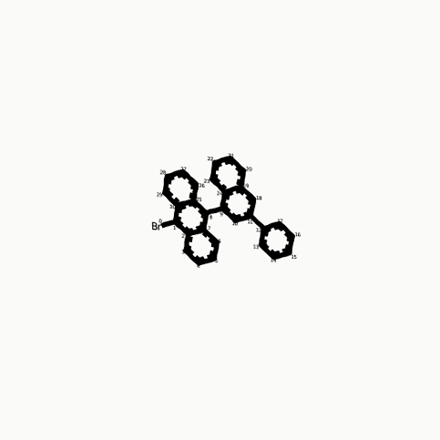 Brc1c2ccccc2c(-c2cc(-c3ccccc3)cc3ccccc23)c2ccccc12